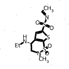 C/C=N/S(=O)(=O)c1cc2c(s1)S(=O)(=O)N(C)C[C@@H]2NCC